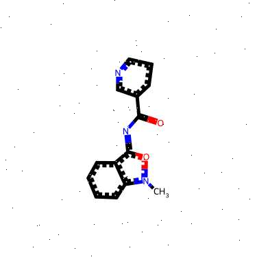 Cn1oc(=NC(=O)c2cccnc2)c2ccccc21